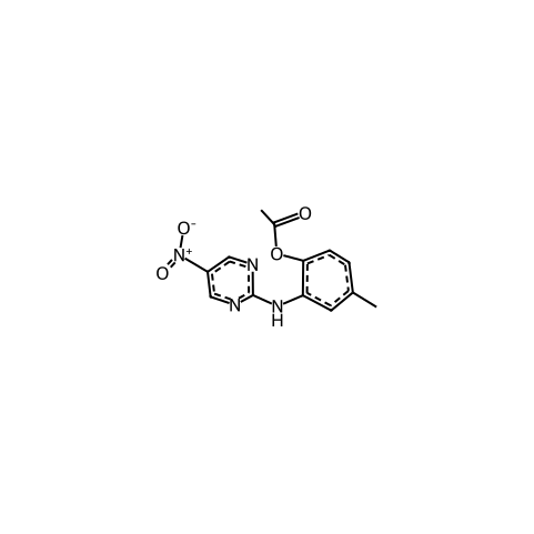 CC(=O)Oc1ccc(C)cc1Nc1ncc([N+](=O)[O-])cn1